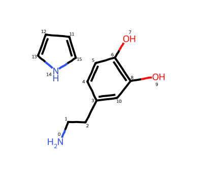 NCCc1ccc(O)c(O)c1.c1cc[nH]c1